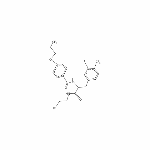 O=C(NC(Cc1ccc(C(F)(F)F)c(F)c1)C(=O)NCCO)c1ccc(OCCC(F)(F)F)cc1